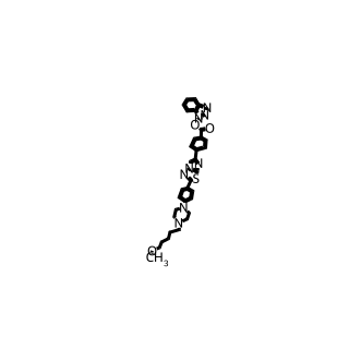 COCCCCCN1CCN(c2ccc(-c3nn4cc(-c5ccc(C(=O)On6nnc7ccccc76)cc5)nc4s3)cc2)CC1